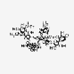 COCC[C@H]1[C@@H](O)[C@H](n2c[n+](C)c3c2N=C(NC(C)C)NC3O)O[C@@H]1COP(=O)(O)OP(=O)(O)OP(=O)(O)OCC1O[C@@H](n2cnc3c(N)ncnc32)[C@H](OC)[C@@H]1OP(=O)([O-])OC[C@H]1O[C@@H](n2ccc(=O)[nH]c2=O)[C@H](O)[C@@H]1O